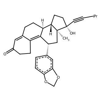 CC(C)C#C[C@]1(O)CC[C@H]2[C@@H]3CCC4=CC(=O)CCC4=C3[C@@H](c3ccc4c(c3)OCO4)C[C@@]21C